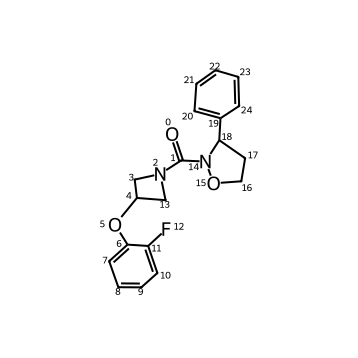 O=C(N1CC(Oc2ccccc2F)C1)N1OCCC1c1ccccc1